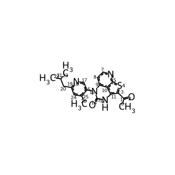 CC(=O)c1sc2nccc3c2c1NC(=O)N3c1cnc(CC(C)C)cc1C